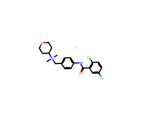 C[N+](C)(Cc1ccc(NC(=O)c2cc(Cl)ccc2Cl)cc1)C1CCOCC1.[I-]